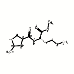 COC(=O)[C@H](CCSC)NC(=O)C1CSC(C)N1